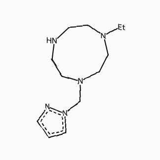 CCN1CCNCCN(Cn2cccn2)CC1